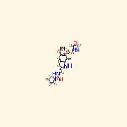 O=C(NCc1cc2cc(OC(F)(F)F)c(OCc3cocn3)cc2[nH]1)N1CCCC1